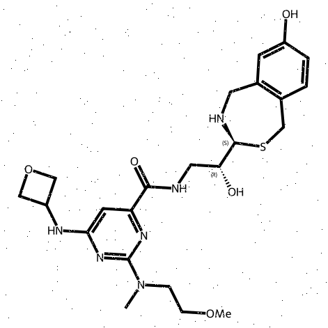 COCCN(C)c1nc(NC2COC2)cc(C(=O)NC[C@@H](O)[C@H]2NCc3cc(O)ccc3CS2)n1